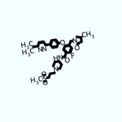 CC(C)c1ccc(-c2ccc(Oc3cc(C(=O)NC4CCN(CCCS(C)(=O)=O)CC4)c(F)cc3CN3C[C@@H](C)CC3=O)cc2)nn1